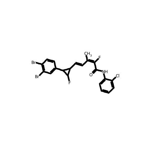 CC(/C=C/C1C(F)C1c1ccc(Br)c(Br)c1)=C(\F)C(=O)Nc1ccccc1Cl